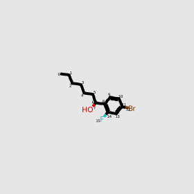 CCCCCCC(O)c1ccc(Br)cc1F